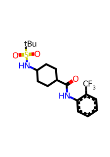 CC(C)(C)S(=O)(=O)NC1CCC(C(=O)Nc2ccccc2C(F)(F)F)CC1